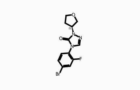 O=c1n(-c2ccc(Br)cc2F)cnn1[C@H]1CCOC1